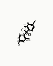 Cc1ccc(C(Cl)(Cl)c2ccc(C)cc2C)c(C)c1